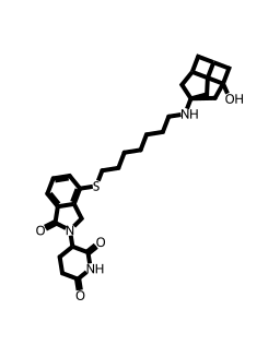 O=C1CCC(N2Cc3c(SCCCCCCCNC45CC6CC7CC(O)(C4)C67C5)cccc3C2=O)C(=O)N1